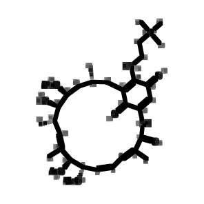 CO[C@H]1/C=C\C=C(/C)C(=O)NC2=CC(=O)C(NCC[N+](C)(C)C)=C(C[C@@H](C)C[C@H](OC)[C@H](O)[C@@H](C)/C=C(\C)[C@@H]1OC(C)=O)C2=O